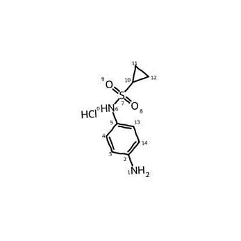 Cl.Nc1ccc(NS(=O)(=O)C2CC2)cc1